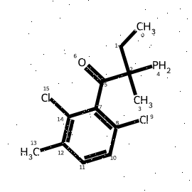 CCC(C)(P)C(=O)c1c(Cl)ccc(C)c1Cl